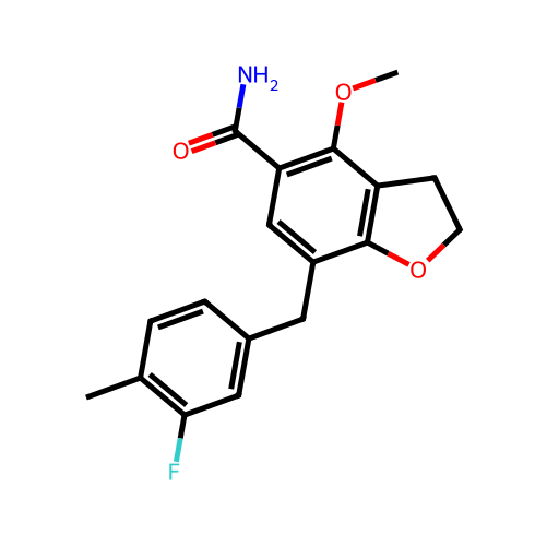 COc1c(C(N)=O)cc(Cc2ccc(C)c(F)c2)c2c1CCO2